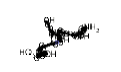 Nc1ccn([C@H]2C[C@@H](O)[C@@H](COP(=O)(O)OCCOCCOCCOP(=O)(O)O[C@@H]3C[C@H](n4cc(/C=C/C(=O)NCCCCCCNC(=O)c5ccc(C(=O)O)c(-c6c7ccc(=O)cc-7oc7cc(O)ccc67)c5)c(=O)[nH]c4=O)O[C@@H]3COP(=O)(O)OCCOCCOCCO)O2)c(=O)n1